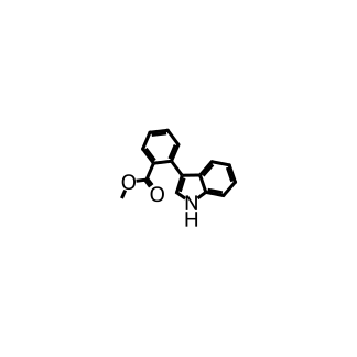 COC(=O)c1ccccc1-c1c[nH]c2ccccc12